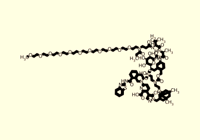 CCC(=O)N(CCOCCOCCOCCOCCOCCOCCOCCOCCOCCOCCOC)CCC(=O)N[C@H](C(=O)N[C@@H](C)C(=O)Nc1ccc(COC(=O)N(CCOC23CC4(C)CC(C)(CC(Cn5ncc(-c6ccc(N7CCc8cccc(C(=O)Nc9nc%10ccccc%10s9)c8C7)nc6C(=O)O)c5C)(C4)C2)C3)CCS(=O)(=O)O)c(CC[C@@H]2O[C@H](C(=O)O)[C@@H](O)[C@H](O)[C@H]2O)c1)C(C)C